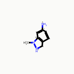 CN1NCc2ccc(N)cc21